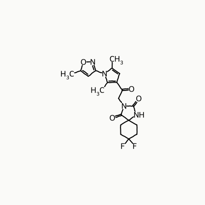 Cc1cc(-n2c(C)cc(C(=O)CN3C(=O)NC4(CCC(F)(F)CC4)C3=O)c2C)no1